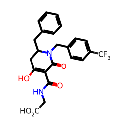 O=C(O)CNC(=O)C1=C(O)CC(Cc2ccccc2)N(Cc2ccc(C(F)(F)F)cc2)C1=O